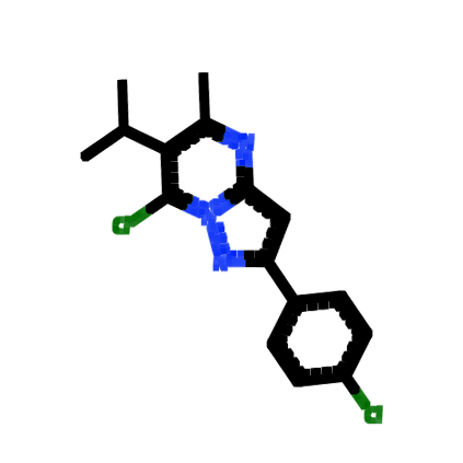 Cc1nc2cc(-c3ccc(Cl)cc3)nn2c(Cl)c1C(C)C